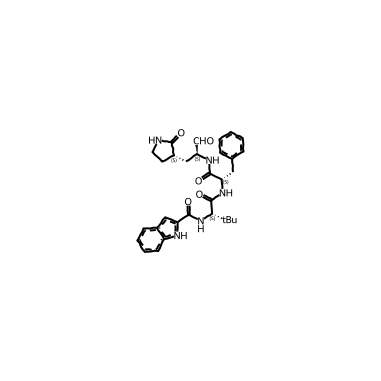 CC(C)(C)[C@H](NC(=O)c1cc2ccccc2[nH]1)C(=O)N[C@@H](Cc1ccccc1)C(=O)N[C@H](C=O)C[C@@H]1CCNC1=O